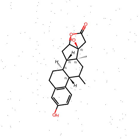 CC1C[C@@]2(C)[C@@H](CC3OC(=O)C[C@@]32O)[C@@H]2CCc3cc(O)ccc3[C@@H]12